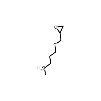 C[SiH2]CCCOCC1CO1